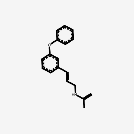 C=C(C)NC/C=C/c1cccc(Oc2ccccc2)c1